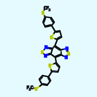 FC(F)(F)Sc1ccc(-c2ccc(-c3c4c(c(-c5ccc(-c6ccc(SC(F)(F)F)cc6)s5)c5nsnc35)N=S=N4)s2)cc1